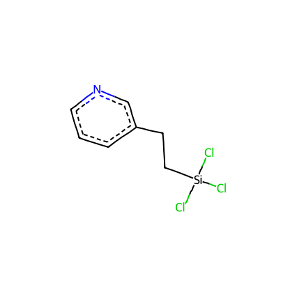 Cl[Si](Cl)(Cl)CCc1cccnc1